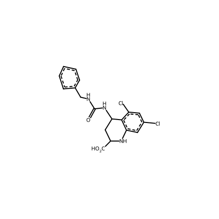 O=C(NCc1ccccc1)NC1CC(C(=O)O)Nc2cc(Cl)cc(Cl)c21